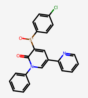 O=c1c([S+]([O-])c2ccc(Cl)cc2)cc(-c2ccccn2)cn1-c1ccccc1